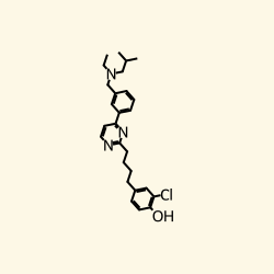 CCN(Cc1cccc(-c2ccnc(CCCCc3ccc(O)c(Cl)c3)n2)c1)CC(C)C